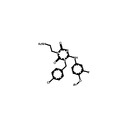 CC(=O)NCCn1c(=O)nc(Nc2ccc(OC(C)C)c(F)c2)n(Cc2ccc(Cl)cc2)c1=O